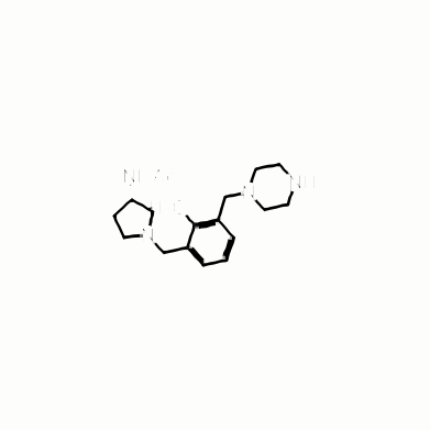 CC(=O)N[C@H]1CCN(Cc2cccc(CN3CCNCC3)c2C)C1